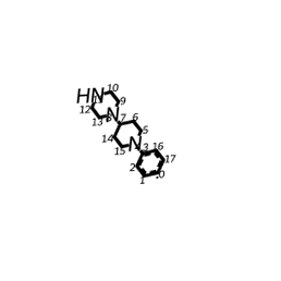 [c]1ccc(N2CCC(N3CCNCC3)CC2)cc1